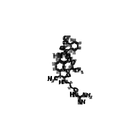 CC(C(=O)NCCONC(=N)N)c1ccc(NS(=O)(=O)c2ccccc2OC(F)(F)F)c(=O)n1OC(=O)C(F)(F)F